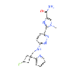 Cn1cc(C(N)=O)nc1-c1ccc(NCC2(c3ccccn3)CC(F)C2)nn1